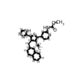 [C-]#[N+]c1c(-c2ccnc(NC(=O)OC)c2)sc(-c2nnc[nH]2)c1Cc1ccc2ccccc2c1